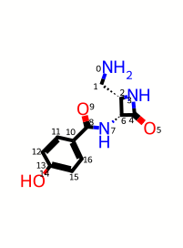 NC[C@@H]1NC(=O)[C@@H]1NC(=O)c1ccc(O)cc1